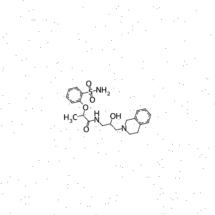 CC(Oc1ccccc1S(N)(=O)=O)C(=O)NCC(O)CN1CCc2ccccc2C1